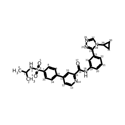 CC(C)NS(=O)(=O)c1ccc(-c2ccnc(C(=O)Nc3cccc(-c4nncn4C4CC4)c3)c2)cc1